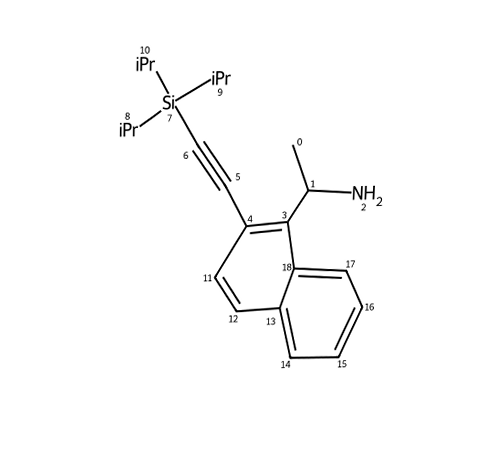 CC(N)c1c(C#C[Si](C(C)C)(C(C)C)C(C)C)ccc2ccccc12